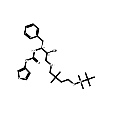 CC(C)(CCO[Si](C)(C)C(C)(C)C)CNC[C@H](O)[C@H](Cc1ccccc1)NC(=O)Oc1ccoc1